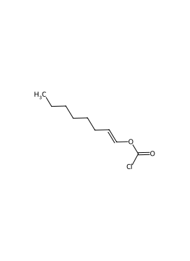 CCCCCC/C=C/OC(=O)Cl